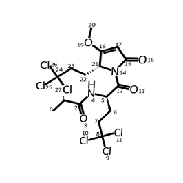 CCC(=O)N[C@H](CCC(Cl)(Cl)Cl)C(=O)N1C(=O)C=C(OC)[C@H]1CCC(Cl)(Cl)Cl